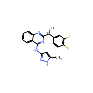 Cc1cc(Nc2nc([C@@H](O)c3ccc(F)c(F)c3)nc3ccccc23)n[nH]1